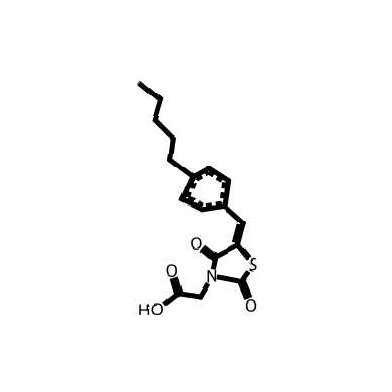 CCCCCc1ccc(C=C2SC(=O)N(CC(=O)O)C2=O)cc1